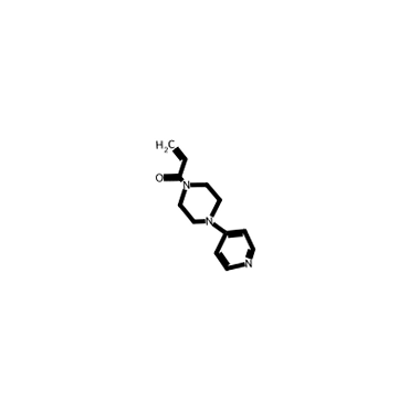 C=CC(=O)N1CCN(c2ccncc2)CC1